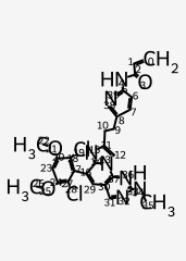 C=CC(=O)Nc1ccc(CCc2cn3c(n2)c(-c2c(Cl)c(OC)cc(OC)c2Cl)cc2cnc(NC)nc23)cn1